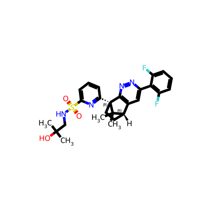 CC(C)(O)CNS(=O)(=O)c1cccc([C@]23CC[C@@H](c4cc(-c5c(F)cccc5F)nnc42)C3(C)C)n1